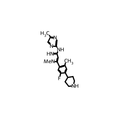 CN/C(=C\C(=N)Nc1cnc(C)cn1)c1cc(F)c(C2CCNCC2)cc1C